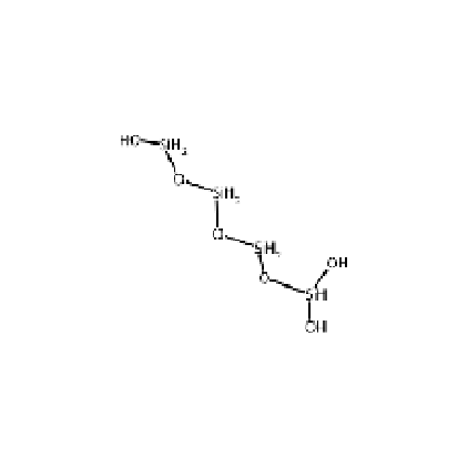 O[SiH2]O[SiH2]O[SiH2]O[SiH](O)O